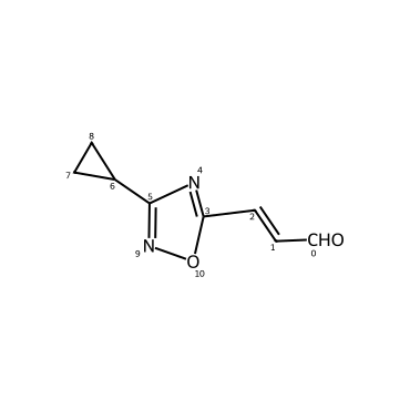 O=CC=Cc1nc(C2CC2)no1